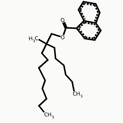 CCCCCCCCC(C)(CCCCCC)COC(=O)c1cccc2ccccc12